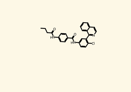 CCCC(=O)Nc1ccc(C(=O)Nc2ccc(Cl)c(-c3nccc4ccccc34)c2)cc1